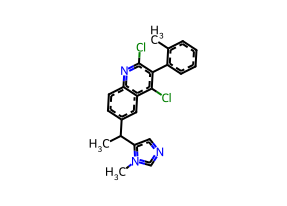 Cc1ccccc1-c1c(Cl)nc2ccc(C(C)c3cncn3C)cc2c1Cl